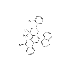 CC1(C)CC(c2ccccc2Br)Cc2ccc3c(cc(Cl)c4ccccc43)c21.c1ccc2ncccc2c1